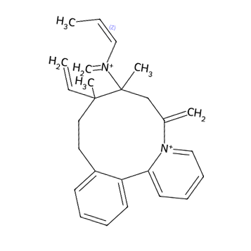 C=CC1(C)CCc2ccccc2-c2cccc[n+]2C(=C)CC1(C)[N+](=C)/C=C\C